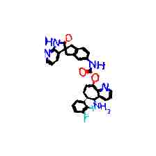 N[C@@H]1c2cccnc2[C@H](OC(=O)Nc2ccc3c(c2)CC2(C3)C(=O)Nc3ncccc32)CC[C@H]1c1cccc(F)c1F